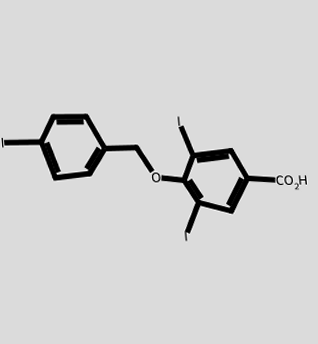 O=C(O)c1cc(I)c(OCc2ccc(I)cc2)c(I)c1